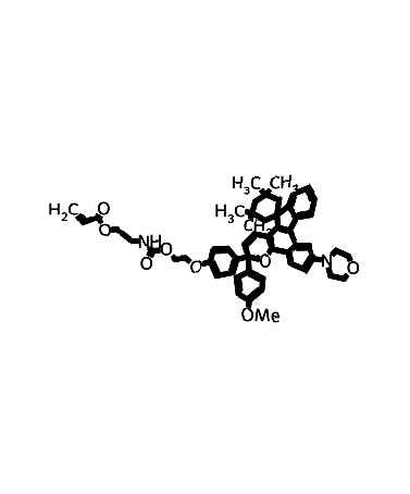 C=CC(=O)OCCNC(=O)OCCOc1ccc(C2(c3ccc(OC)cc3)C=Cc3c4c(c5cc(N6CCOCC6)ccc5c3O2)-c2ccccc2C42CC(C)(C)CC(C)(C)C2)cc1